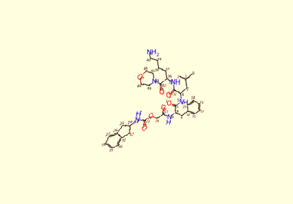 CC(C)CC(NC(=O)C(Cc1ccccc1)NC(=O)COC(=O)NC1Cc2ccccc2C1)C(=O)NC(CCCCN)C(=O)N1CCOCC1